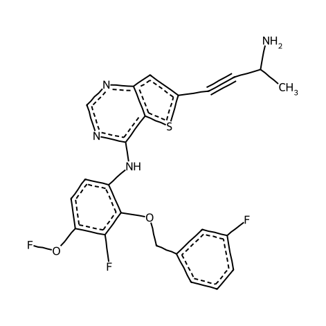 CC(N)C#Cc1cc2ncnc(Nc3ccc(OF)c(F)c3OCc3cccc(F)c3)c2s1